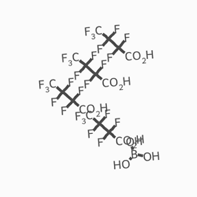 O=C(O)C(F)(F)C(F)(F)C(F)(F)F.O=C(O)C(F)(F)C(F)(F)C(F)(F)F.O=C(O)C(F)(F)C(F)(F)C(F)(F)F.O=C(O)C(F)(F)C(F)(F)C(F)(F)F.OB(O)O